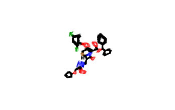 O=C(COc1ccccc1)NCC1C(=O)N2C(C(=O)OC(c3ccccc3)c3ccccc3)=C(Oc3ccc(F)cc3F)CS[C@H]12